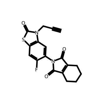 C#CCn1c(=O)sc2cc(F)c(N3C(=O)C4=C(CCCC4)C3=O)cc21